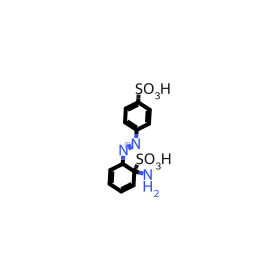 NC1(S(=O)(=O)O)C=CC=CC1/N=N/c1ccc(S(=O)(=O)O)cc1